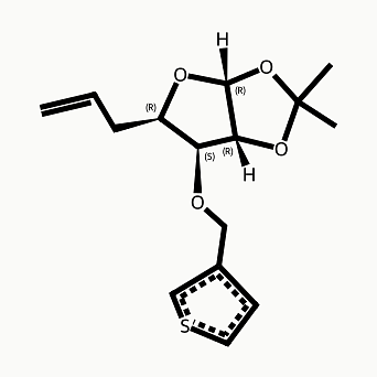 C=CC[C@H]1O[C@@H]2OC(C)(C)O[C@@H]2[C@H]1OCc1ccsc1